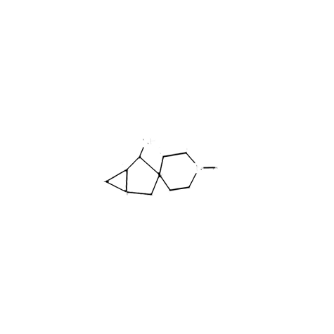 CN1CCC2(CC1)CC1CC1C2N